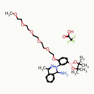 COCCOCCOCCOCCOCCOc1ccc(B2OC(C)(C)C(C)(C)O2)cc1N1N=C(C)c2ccccc2C1N.O=C(O)C(F)(F)F